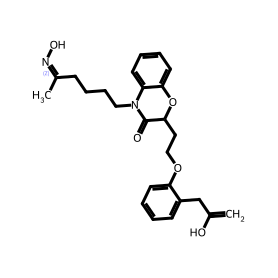 C=C(O)Cc1ccccc1OCCC1Oc2ccccc2N(CCCC/C(C)=N\O)C1=O